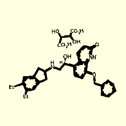 CCc1cc2c(cc1CC)CC(NC[C@H](O)c1ccc(OCc3ccccc3)c3[nH]c(=O)ccc13)C2.O=C(O)C(O)C(O)C(=O)O